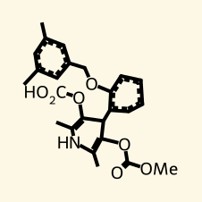 COC(=O)OC1=C(C)NC(C)=C(OC(=O)O)C1c1ccccc1OCc1cc(C)cc(C)c1